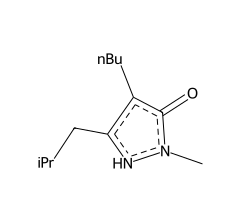 CCCCc1c(CC(C)C)[nH]n(C)c1=O